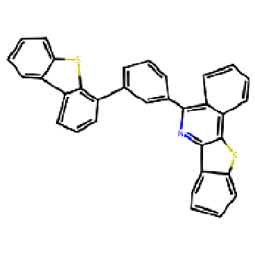 c1cc(-c2nc3c4ccccc4sc3c3ccccc23)cc(-c2cccc3c2sc2ccccc23)c1